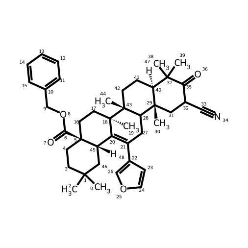 CC1(C)CC[C@]2(C(=O)OCc3ccccc3)CC[C@]3(C)C(=C(c4ccoc4)CC4[C@@]5(C)CC(C#N)C(=O)C(C)(C)[C@@H]5CC[C@]43C)[C@@H]2C1